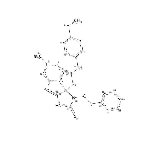 COc1ccc(NC(=O)CC2(c3ccc(C)cc3)C(=O)NC(=S)N2CCc2ccccc2)cc1